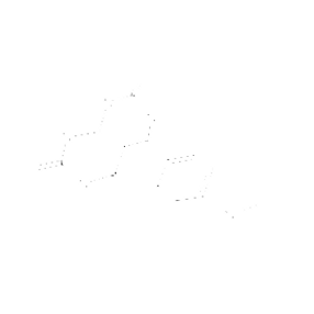 CN(C)c1ccc(C2NC(=S)Nc3[nH]c(=S)[nH]c(=O)c32)cc1